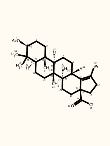 CC(=O)O[C@H]1CC[C@]2(C)[C@H]3CC[C@@H]4C5=C(C(C)C)CC[C@]5(C(=O)Cl)CC[C@@]4(C)[C@]3(C)CC[C@H]2C1(C)C